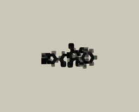 CN1C(=O)N(CC(=O)C2CNNC2)C(=O)C1(C)C1CCCCC1